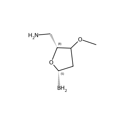 B[C@H]1CC(OC)[C@@H](CN)O1